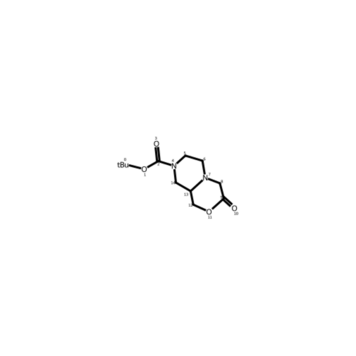 CC(C)(C)OC(=O)N1CCN2CC(=O)OCC2C1